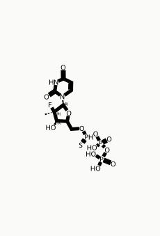 C[C@@]1(F)[C@H](O)C(CO[PH](=S)OP(=O)(O)OP(=O)(O)O)O[C@H]1n1ccc(=O)[nH]c1=O